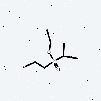 CCCP(=O)(OCC)C(C)C